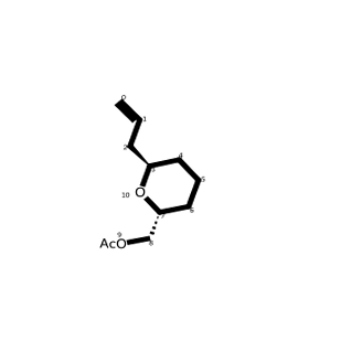 C=CC[C@H]1CCC[C@H](COC(C)=O)O1